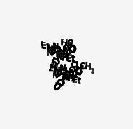 CCC(NC(=O)c1cnc2c(cnn2CC)c1NC1CCOCC1)c1ccc(C)c(Cl)c1.CCC(NC(=O)c1cnc2c(cnn2CC)c1NC1CCOCC1)c1cccc(O)c1